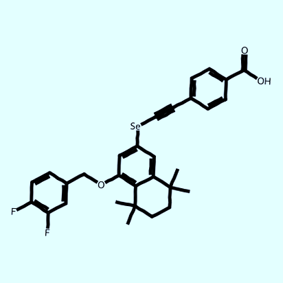 CC1(C)CCC(C)(C)c2c(OCc3ccc(F)c(F)c3)cc([Se]C#Cc3ccc(C(=O)O)cc3)cc21